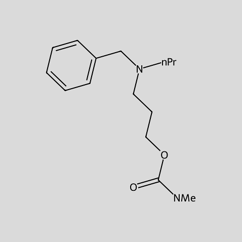 CCCN(CCCOC(=O)NC)Cc1ccccc1